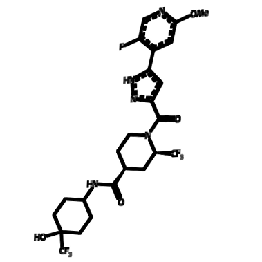 COc1cc(-c2cc(C(=O)N3CC[C@H](C(=O)NC4CCC(O)(C(F)(F)F)CC4)C[C@@H]3C(F)(F)F)n[nH]2)c(F)cn1